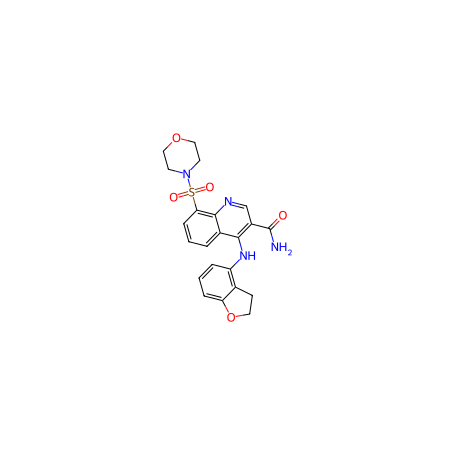 NC(=O)c1cnc2c(S(=O)(=O)N3CCOCC3)cccc2c1Nc1cccc2c1CCO2